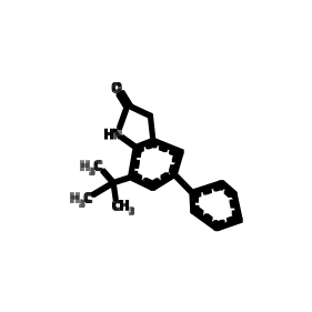 CC(C)(C)c1cc(-c2ccccc2)cc2c1NC(=O)C2